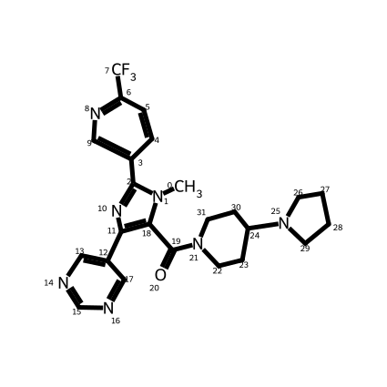 Cn1c(-c2ccc(C(F)(F)F)nc2)nc(-c2cncnc2)c1C(=O)N1CCC(N2CCCC2)CC1